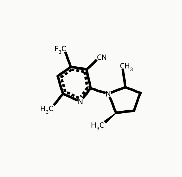 Cc1cc(C(F)(F)F)c(C#N)c(N2C(C)CC[C@H]2C)n1